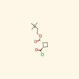 C[Si](C)(C)CCOC(=O)[C@@H]1CC[C@H]1C(=O)Cl